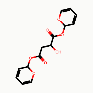 O=C(CC(O)C(=O)OC1C=CC=CO1)OC1C=CC=CO1